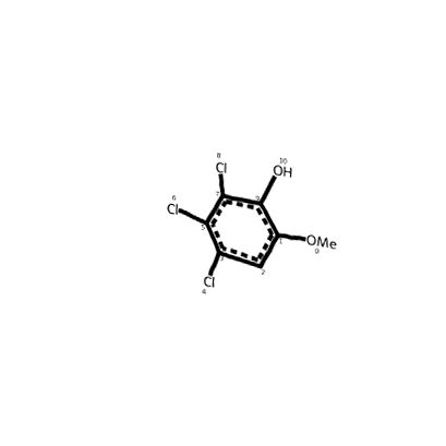 COc1cc(Cl)c(Cl)c(Cl)c1O